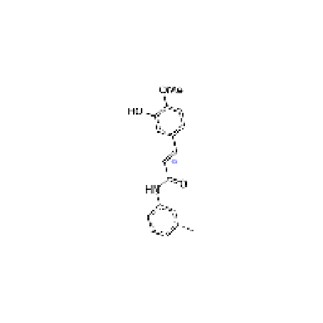 COc1ccc(/C=C/C(=O)Nc2cccc(I)c2)cc1O